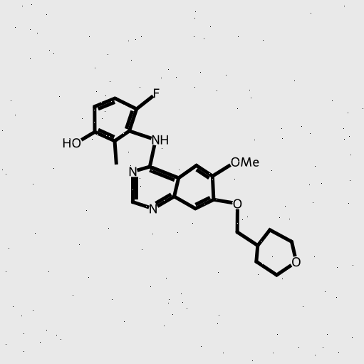 COc1cc2c(Nc3c(F)ccc(O)c3C)ncnc2cc1OCC1CCOCC1